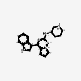 c1ccc2c(-c3nc(N[C@@H]4CCCNC4)nn4cccc34)c[nH]c2c1